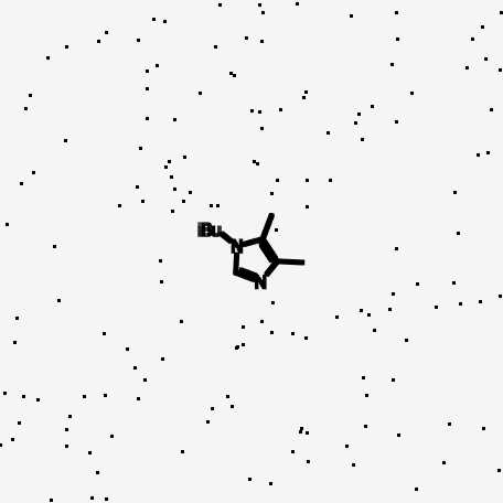 CCC(C)n1cnc(C)c1C